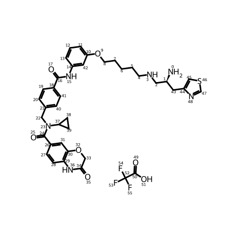 N[C@H](CNCCCCCOc1cccc(NC(=O)c2ccc(CN(C(=O)c3ccc4c(c3)OCC(=O)N4)C3CC3)cc2)c1)Cc1cscn1.O=C(O)C(F)(F)F